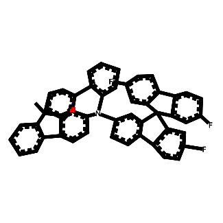 CC1(C)c2ccccc2-c2ccc(N(c3ccc4c(c3)C3(c5cc(F)ccc5-c5ccc(F)cc53)c3cc(F)ccc3-4)c3ccccc3-c3ccccc3)cc21